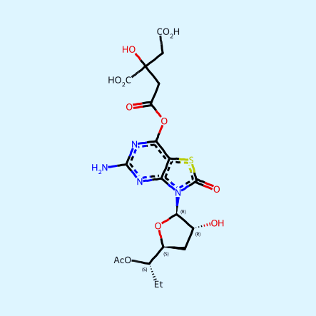 CC[C@H](OC(C)=O)[C@@H]1C[C@@H](O)[C@H](n2c(=O)sc3c(OC(=O)CC(O)(CC(=O)O)C(=O)O)nc(N)nc32)O1